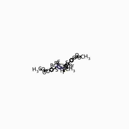 CCOC(=O)COc1ccc(C2=C(Br)C(=N\B(F)F)/C(=C\C(C)=C(\c3cc4sc(-c5ccc(OCC(=O)OCC)cc5)c(Br)c4n3C)C(F)(F)F)S2)cc1